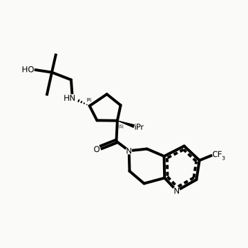 CC(C)[C@]1(C(=O)N2CCc3ncc(C(F)(F)F)cc3C2)CC[C@@H](NCC(C)(C)O)C1